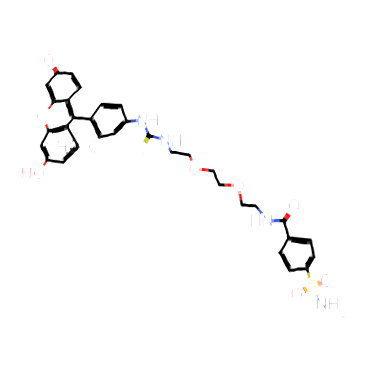 NS(=O)(=O)c1ccc(C(=O)NCCOCCOCCNC(=S)Nc2ccc(-c3c4ccc(=O)cc-4oc4cc(O)ccc34)c(C(=O)O)c2)cc1